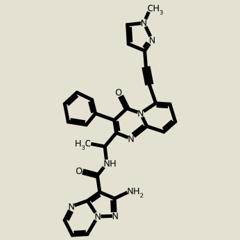 CC(NC(=O)c1c(N)nn2cccnc12)c1nc2cccc(C#Cc3ccn(C)n3)n2c(=O)c1-c1ccccc1